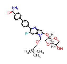 C[Si](C)(C)CCOCn1c(O[C@@H]2CO[C@H]3[C@@H]2OC[C@H]3O)cc2nc(-c3ccc(-c4ccc(C(N)=O)cc4)cc3)c(F)cc21